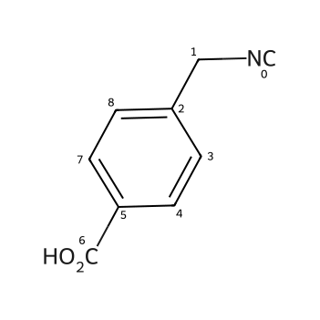 [C-]#[N+]Cc1ccc(C(=O)O)cc1